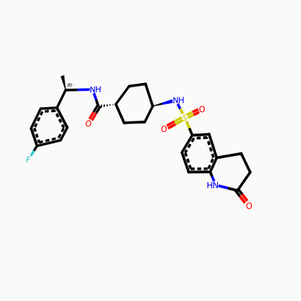 C[C@@H](NC(=O)[C@H]1CC[C@H](NS(=O)(=O)c2ccc3c(c2)CCC(=O)N3)CC1)c1ccc(F)cc1